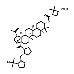 C=C(C)[C@@H]1CC[C@]2(C(=O)N3CCC[C@H]3CN3CCC[C@H]3C(C)(C)O)CC[C@]3(C)[C@H](CC[C@@H]4[C@@]5(C)CC[C@H](OC(=O)[C@H]6C[C@@H](C(=O)O)C6(C)C)C(C)(C)[C@@H]5CC[C@]43C)[C@@H]12